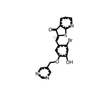 O=C1/C(=C/c2cc(OCc3cncnc3)c(O)cc2Br)Sc2ncccc21